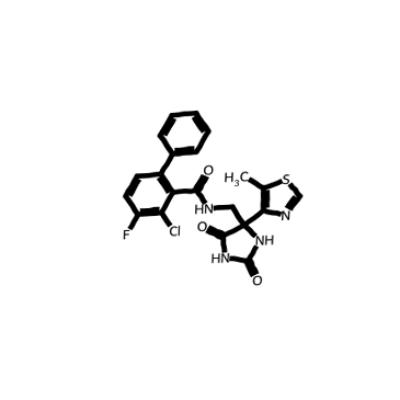 Cc1scnc1C1(CNC(=O)c2c(-c3ccccc3)ccc(F)c2Cl)NC(=O)NC1=O